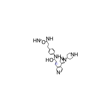 N=COC(=N)CCc1ccc(NC(O)/C=C/c2cnccc2-c2cnn(C3CCNCC3)c2)cc1